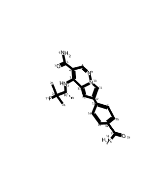 C[C@@H](Nc1c(C(N)=O)cnn2cc(-c3ccc(C(N)=O)cc3)cc12)C(C)(C)F